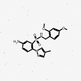 COc1ccc(CNS(=O)(=O)c2cc(N)ccc2-n2cc(C)cn2)c(OC)c1